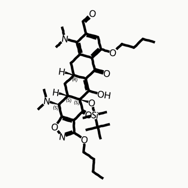 CCCCOc1cc(C=O)c(N(C)C)c2c1C(=O)C1=C(O)[C@]3(O[Si](C)(C)C(C)(C)C)C(=O)c4c(OCCCC)noc4[C@@H](N(C)C)[C@@H]3C[C@@H]1C2